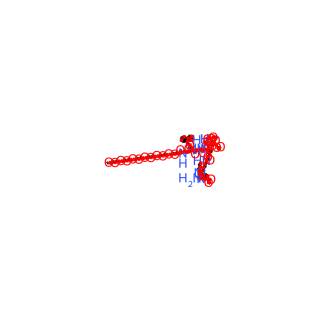 CCCCc1nc2c(N)nc3cc(C(=O)OC)ccc3c2n1CCCCCNC(=O)OCc1ccc(O[C@H]2O[C@H](COC(C)=O)[C@@H](OC(C)=O)[C@H](OC(C)=O)[C@@H]2OC(C)=O)c(NC(=O)CCNC(=O)[C@H](CCCCNC(=O)CCOCCOCCOCCOCCOCCOCCOCCOCCOCCOCCOCCOC)NC(=O)OCC2c3ccccc3-c3ccccc32)c1